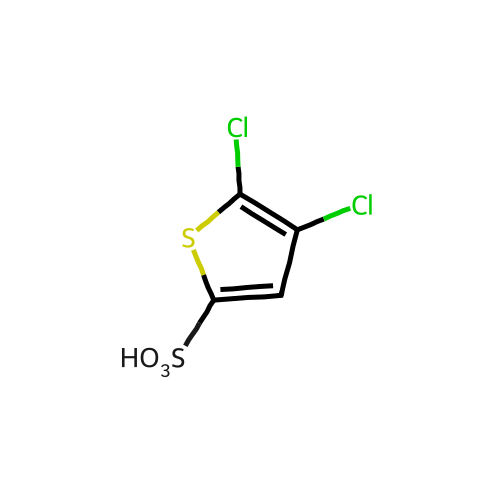 O=S(=O)(O)c1cc(Cl)c(Cl)s1